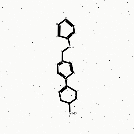 CCCCCCC1CC=C(c2ccc(COc3ccccc3)cc2)CC1